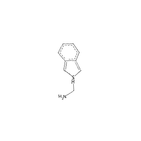 NC[SH]1C=c2ccccc2=C1